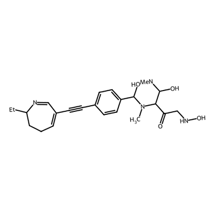 CCC1CCC=C(C#Cc2ccc(C(O)N(C)C(C(=O)CNO)C(O)NC)cc2)C=N1